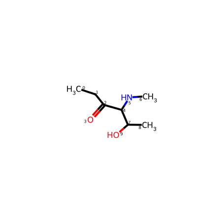 CCC(=O)C(NC)C(C)O